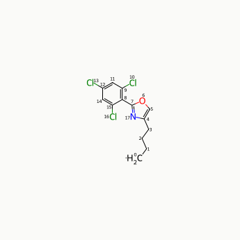 [CH2]CCCc1coc(-c2c(Cl)cc(Cl)cc2Cl)n1